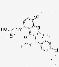 Cc1nc2c(Cl)ccc(OCC(=O)O)c2c(OC(F)F)c1Cc1ccc(Cl)cc1